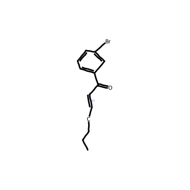 CCCC/C=C/C(=O)c1cccc(Br)c1